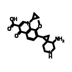 COc1c(C2CC23CCNCC3N)ccc2c(=O)c(C(=O)O)cn(C3CC3)c12